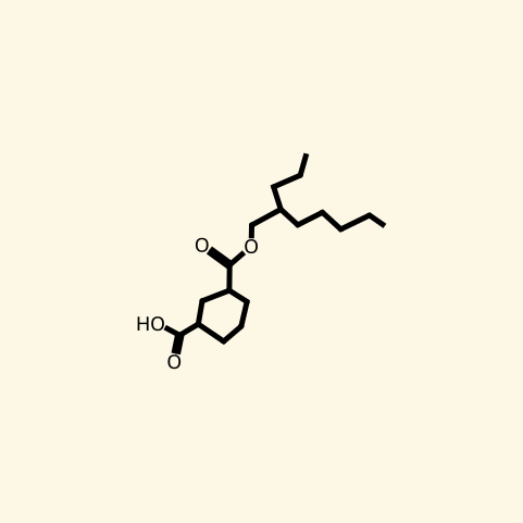 CCCCCC(CCC)COC(=O)C1CCCC(C(=O)O)C1